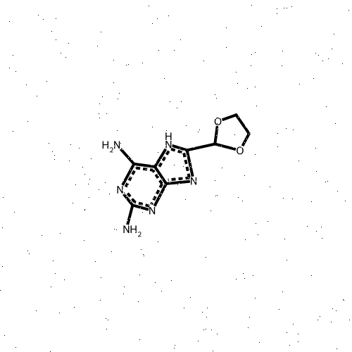 Nc1nc(N)c2[nH]c(C3OCCO3)nc2n1